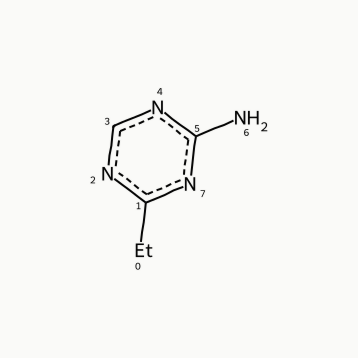 CCc1ncnc(N)n1